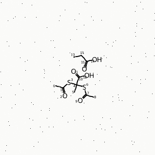 CC(=O)SC(C)(SC(C)=O)C(=O)O.CCC(=O)O